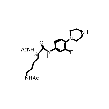 CC(=O)NCCCC[C@H](NC(C)=O)C(=O)Nc1ccc(N2CCNCC2)c(F)c1